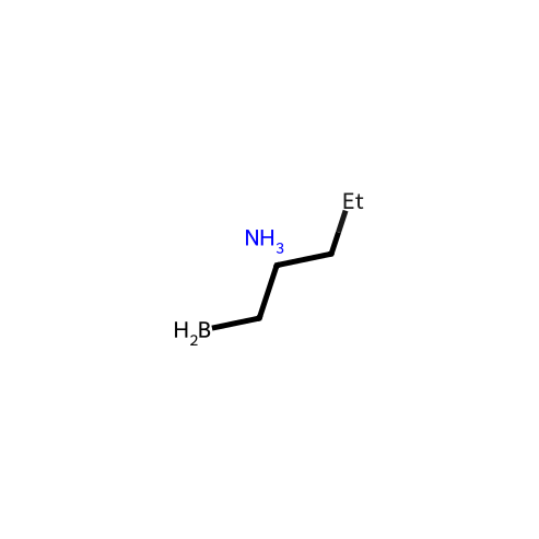 BCCCCC.N